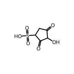 O=C1CC(S(=O)(=O)O)C(=O)C1O